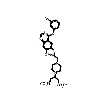 CCOC(=O)CC(CC(=O)OCC)N1CCN(CCOc2cc3c(Nc4cccc(Br)c4)ncnc3cc2OC)CC1